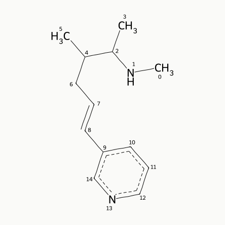 CNC(C)C(C)CC=Cc1cccnc1